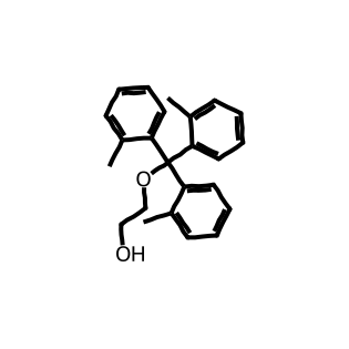 Cc1ccccc1C(OCCO)(c1ccccc1C)c1ccccc1C